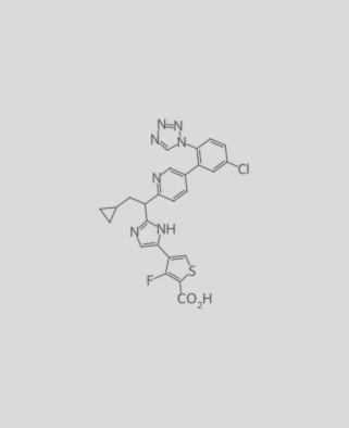 O=C(O)c1scc(-c2cnc(C(CC3CC3)c3ccc(-c4cc(Cl)ccc4-n4cnnn4)cn3)[nH]2)c1F